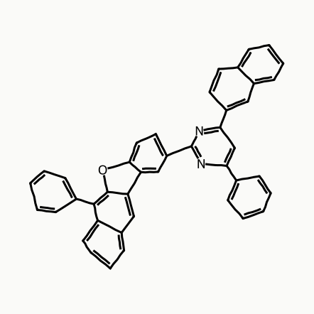 c1ccc(-c2cc(-c3ccc4ccccc4c3)nc(-c3ccc4oc5c(-c6ccccc6)c6ccccc6cc5c4c3)n2)cc1